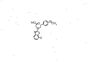 COc1ccc(CCN(CC(=O)O)c2nc3cccc(F)c3s2)cc1